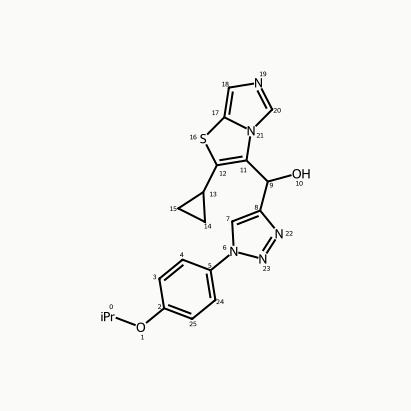 CC(C)Oc1ccc(-n2cc(C(O)c3c(C4CC4)sc4cncn34)nn2)cc1